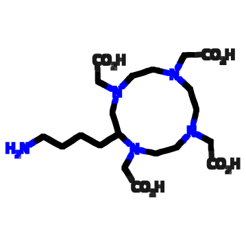 NCCCCC1CN(CC(=O)O)CCN(CC(=O)O)CCN(CC(=O)O)CCN1CC(=O)O